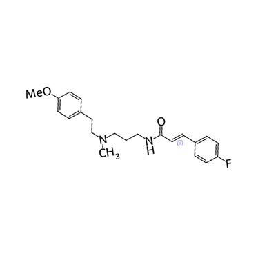 COc1ccc(CCN(C)CCCNC(=O)/C=C/c2ccc(F)cc2)cc1